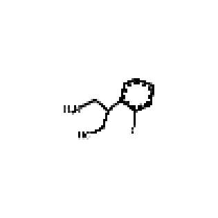 NCC(CO)c1ccccc1Cl